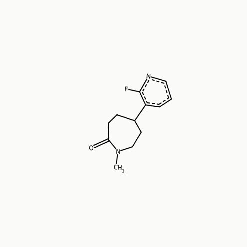 CN1CCC(c2cccnc2F)CCC1=O